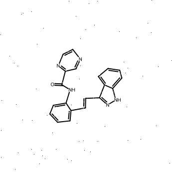 O=C(Nc1ccccc1C=Cc1n[nH]c2ccccc12)c1cnccn1